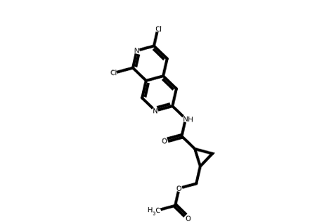 CC(=O)OCC1CC1C(=O)Nc1cc2cc(Cl)nc(Cl)c2cn1